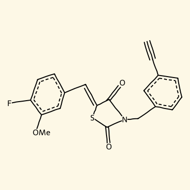 C#Cc1cccc(CN2C(=O)S/C(=C\c3ccc(F)c(OC)c3)C2=O)c1